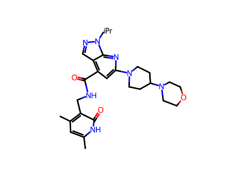 Cc1cc(C)c(CNC(=O)c2cc(N3CCC(N4CCOCC4)CC3)nc3c2cnn3C(C)C)c(=O)[nH]1